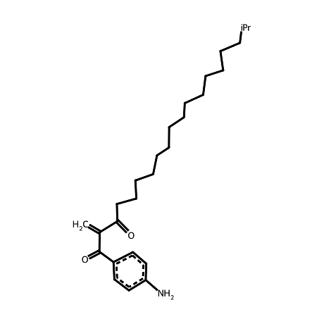 C=C(C(=O)CCCCCCCCCCCCCCC(C)C)C(=O)c1ccc(N)cc1